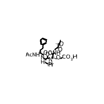 CC(=O)N[C@@H](CCc1ccccc1)C(=O)N[C@@H](CC(C)C)C(=O)N[C@@H](COCC(=O)O)C(=O)NCC(=O)[C@@]1(C)CO1